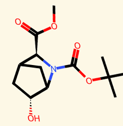 COC(=O)[C@@H]1C2CC([C@H](O)C2)N1C(=O)OC(C)(C)C